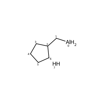 [AlH2][CH2]C1CCCC1.[HH]